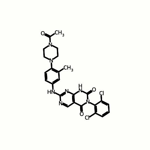 CC(=O)N1CCN(c2ccc(Nc3ncc4c(=O)n(-c5c(Cl)cccc5Cl)c(=O)[nH]c4n3)cc2C)CC1